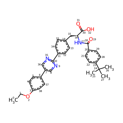 CCOc1ccc(-c2cnc(-c3ccc(C[C@H](NC(=O)c4ccc(C(C)(C)C)cc4)C(=O)O)cc3)nc2)cc1